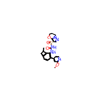 COc1cc(-c2ccc3c(c2NC(=O)N[S+]([O-])c2cnn4c2OCCC4)C(C)C3)ccn1